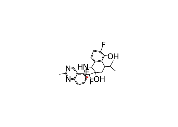 Cc1ncc2c(NC3c4ccc(F)c(O)c4C(C(C)C)CC3(O)C(F)(F)F)cccc2n1